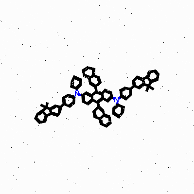 CC1(C)c2ccccc2-c2ccc(-c3ccc(N(c4ccccc4)c4ccc5c(-c6ccc7ccccc7c6)c6cc(N(C7=CCC(c8ccc9c(c8)C(C)(C)c8ccccc8-9)C=C7)c7ccccc7)ccc6c(-c6ccc7ccccc7c6)c5c4)cc3)cc21